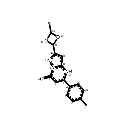 Cc1ccc(-c2cc(=O)n3nc(C4OC(C)O4)cc3[nH]2)cc1